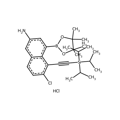 CC(C)[Si](C#Cc1c(Cl)ccc2cc(N)cc(B3OC(C)(C)C(C)(C)O3)c12)(C(C)C)C(C)C.Cl